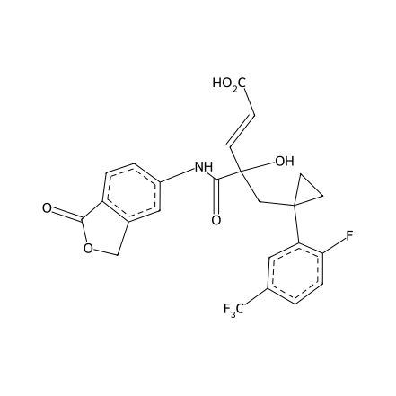 O=C(O)C=CC(O)(CC1(c2cc(C(F)(F)F)ccc2F)CC1)C(=O)Nc1ccc2c(c1)COC2=O